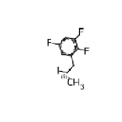 C[C@H](I)Cc1cc(F)cc(F)c1F